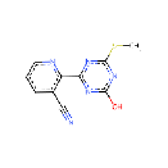 CSc1nc(O)nc(-c2ncccc2C#N)n1